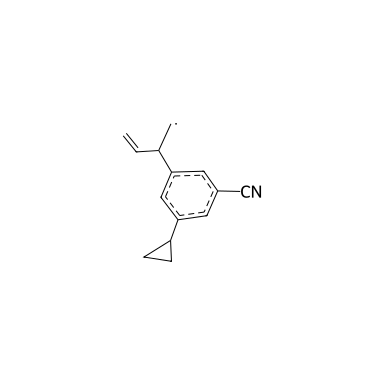 [CH2]C(C=C)c1cc(C#N)cc(C2CC2)c1